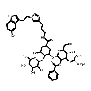 CCCCCCC[C@H](OC1C(OC(=O)c2ccccc2)[C@H](O[C@@H]2CC(C(=O)NCCCc3cn(CCc4c[nH]c5ccc([N+](=O)[O-])cc45)nn3)CC(C)C2O[C@@H]2OC(C)[C@@H](O)C(O)C2O)OC(CO)[C@@H]1O)C(=O)O